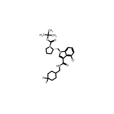 CC(C)(C)OC(=O)N1CCC[C@H]1Cn1cc(C(=O)NCC2CCC(F)(F)CC2)c2c(Cl)cccc21